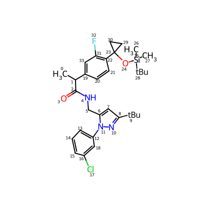 CC(C(=O)NCc1cc(C(C)(C)C)nn1-c1cccc(Cl)c1)c1ccc(C2(O[Si](C)(C)C(C)(C)C)CC2)c(F)c1